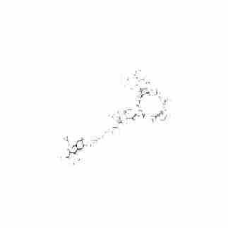 CO[C@]1(C)CC(O[C@H]2[C@H](C)[C@@H](OC3O[C@H](C)C[C@H](N(C)C)[C@H]3O)[C@](C)(O)C[C@@H](C)CN(C)[C@H](C)[C@@H](O)[C@](C)(O)[C@@H](I)OC(=O)[C@@H]2C)OC(C)[C@H]1OC(=O)CCNCCOCCNc1cc2c(=O)c(C(=O)O)cn(C3CC3)c2cc1Cl